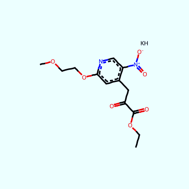 CCOC(=O)C(=O)Cc1cc(OCCOC)ncc1[N+](=O)[O-].[KH]